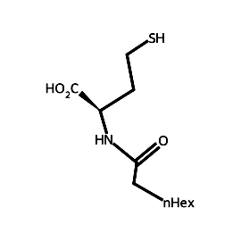 CCCCCCCC(=O)N[C@H](CCS)C(=O)O